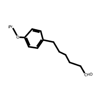 CC(C)Oc1ccc(CCCCCC=O)cc1